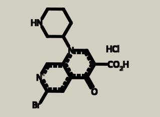 Cl.O=C(O)c1cn(C2CCCNC2)c2cnc(Br)cc2c1=O